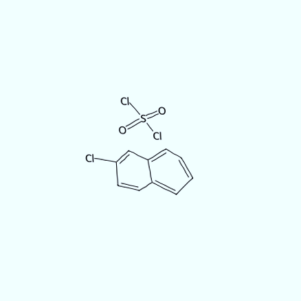 Clc1ccc2ccccc2c1.O=S(=O)(Cl)Cl